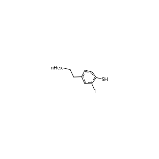 CCCCCCCCc1ccc(S)c(I)c1